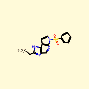 CCOC(=O)Cc1nc2cnc3c(ccn3S(=O)(=O)c3ccccc3)c2[nH]1